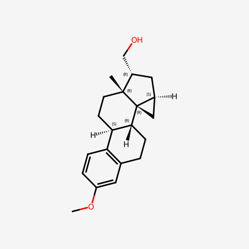 COc1ccc2c(c1)CC[C@@H]1[C@@H]2CC[C@]2(C)[C@H](CO)C[C@H]3C[C@@]312